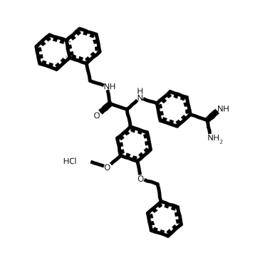 COc1cc(C(Nc2ccc(C(=N)N)cc2)C(=O)NCc2cccc3ccccc23)ccc1OCc1ccccc1.Cl